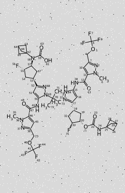 Cn1nc(COC(F)(F)F)cc1C(=O)Nc1cc([C@@H]2C[C@H](OC(=O)NC34CC(C3)C4)[C@@H](F)C2)n[nH]1.Cn1nc(COC(F)(F)F)cc1C(=O)Nc1cc([C@H]2C[C@H](F)[C@@H](N(C(=O)O)C34CC(C3)C4)C2)nn1C(C)(C)C